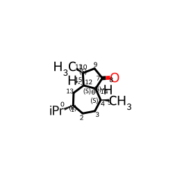 CC(C)[C@@H]1CC[C@H](C)[C@@H]2C(=O)C[C@H](C)[C@@H]2C1